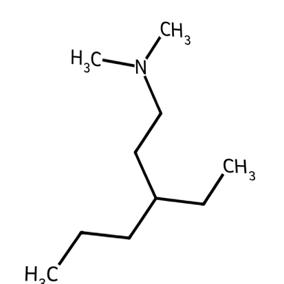 CCCC(CC)CCN(C)C